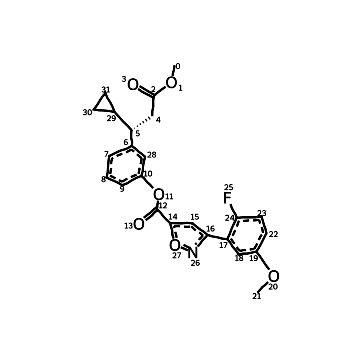 COC(=O)C[C@H](c1cccc(OC(=O)c2cc(-c3cc(OC)ccc3F)no2)c1)C1CC1